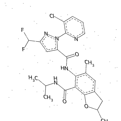 Cc1cc2c(c(C(=O)NC(C)C)c1NC(=O)c1cc(C(F)F)nn1-c1ncccc1Cl)OC(C)C2